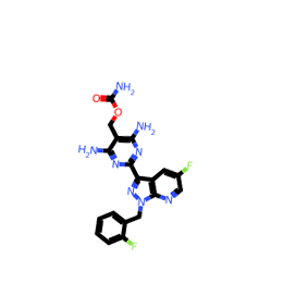 NC(=O)OCc1c(N)nc(-c2nn(Cc3ccccc3F)c3ncc(F)cc23)nc1N